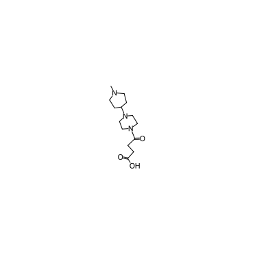 CN1CCC(N2CCN(C(=O)CCC(=O)O)CC2)CC1